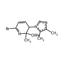 COC1(C)N=C(Br)C=CC1n1cnc(C)c1C